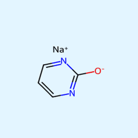 [Na+].[O-]c1ncccn1